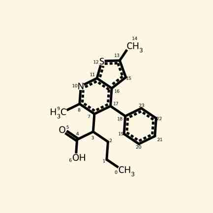 CCCC(C(=O)O)c1c(C)nc2sc(C)cc2c1-c1ccccc1